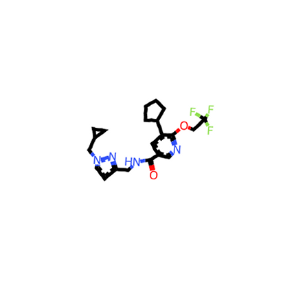 O=C(NCc1ccn(CC2CC2)n1)c1cnc(OCC(F)(F)F)c(C2CCCC2)c1